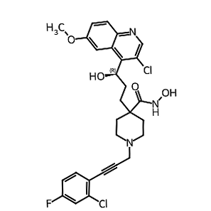 COc1ccc2ncc(Cl)c([C@H](O)CCC3(C(=O)NO)CCN(CC#Cc4ccc(F)cc4Cl)CC3)c2c1